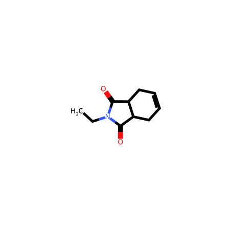 CCN1C(=O)C2CC=CCC2C1=O